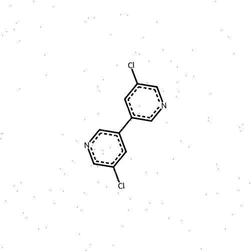 Clc1cncc(-c2cncc(Cl)c2)c1